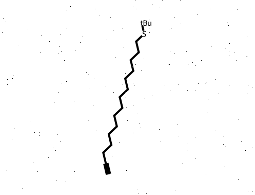 C#CCCCCCCCCCCCCCSC(C)(C)C